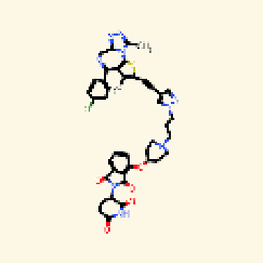 Cc1c(C#Cc2cnn(CCCN3CCC(Oc4cccc5c4C(=O)N(C4CCC(=O)NC4=O)C5=O)CC3)c2)sc2c1C(c1ccc(Cl)cc1)=NCc1nnc(C)n1-2